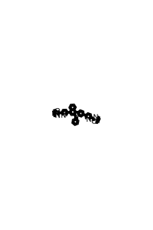 CC1(C)N=C(c2ccc(-c3ccc4c5c6ccccc6c(-c6ccc(C7=NC(C)(C)C(C)(C)O7)nc6)cc5n(-c5ccccc5)c4c3)cn2)OC1(C)C